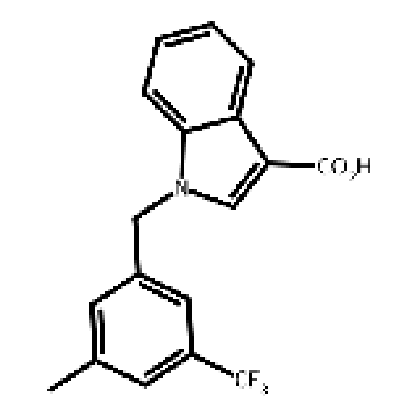 Cc1cc(Cn2cc(C(=O)O)c3ccccc32)cc(C(F)(F)F)c1